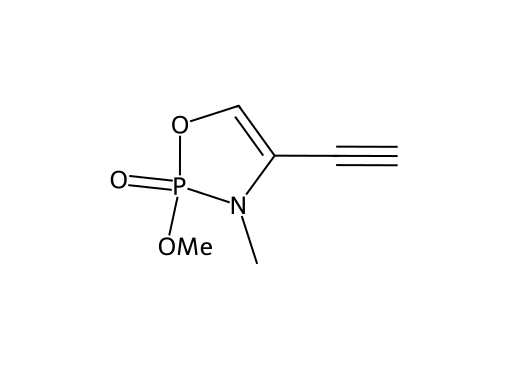 C#CC1=COP(=O)(OC)N1C